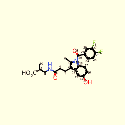 Cc1c(CCC(=O)NC[C@H](C)C(=O)O)c2cc(O)ccc2n1C(=O)c1ccc(F)c(F)c1